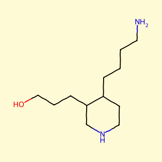 NCCCCC1CCNCC1CCCO